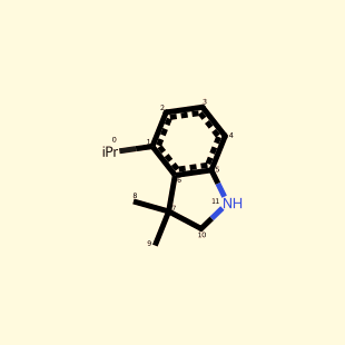 CC(C)c1cccc2c1C(C)(C)CN2